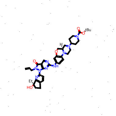 C=CCn1c(=O)c2cnc(Nc3ccc4c(c3)OC[C@H]3CN(C5CCN(C(=O)OC(C)(C)C)CC5)CCN43)nc2n1-c1ccc2c(n1)[C@@](O)(CC)CC2